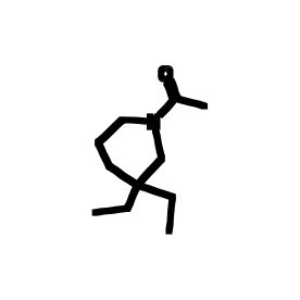 CCC1(CC)CCCN(C(C)=O)C1